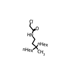 CCCCCCC(C)(CCCCCC)CCNC(=O)CCl